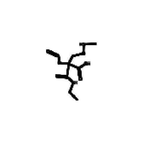 CCNC(=O)C(CONC)(OC=O)C(=O)O